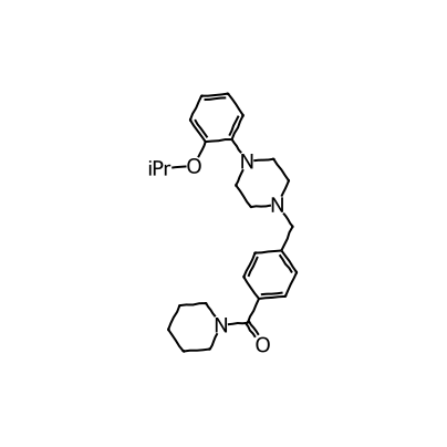 CC(C)Oc1ccccc1N1CCN(Cc2ccc(C(=O)N3CCCCC3)cc2)CC1